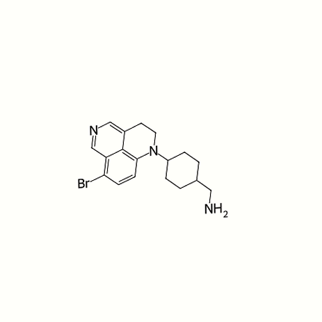 NCC1CCC(N2CCc3cncc4c(Br)ccc2c34)CC1